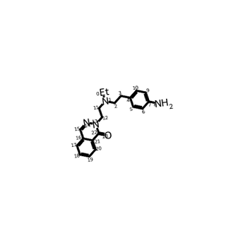 CCN(CCc1ccc(N)cc1)CCn1ncc2ccccc2c1=O